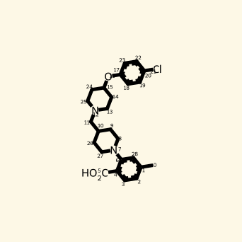 Cc1ccc(C(=O)O)c(N2CCC(CN3CCC(Oc4ccc(Cl)cc4)CC3)CC2)c1